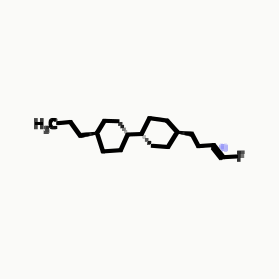 CCC[C@H]1CC[C@H]([C@H]2CC[C@H](CC/C=C/F)CC2)CC1